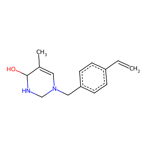 C=Cc1ccc(CN2C=C(C)C(O)NC2)cc1